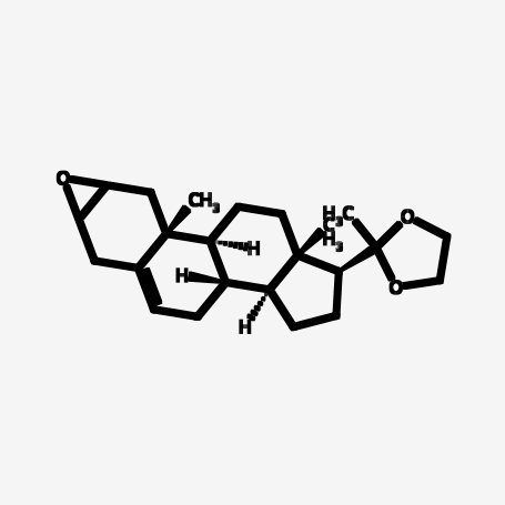 CC1([C@H]2CC[C@H]3[C@@H]4CC=C5CC6OC6C[C@]5(C)[C@H]4CC[C@]23C)OCCO1